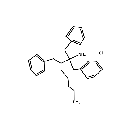 CCCCCC(Cc1ccccc1)C(N)(Cc1ccccc1)Cc1ccccc1.Cl